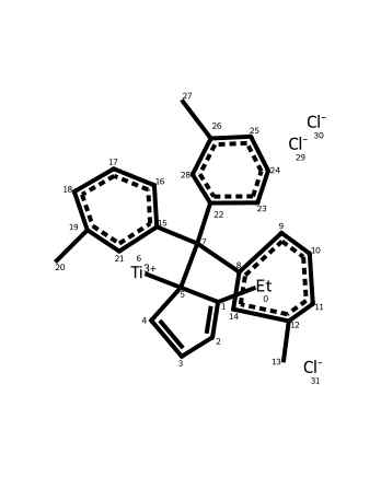 CCC1=CC=C[C]1([Ti+3])C(c1cccc(C)c1)(c1cccc(C)c1)c1cccc(C)c1.[Cl-].[Cl-].[Cl-]